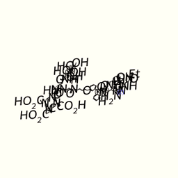 CCC(=O)NCCNC(=O)/N=C(/N)NCCC[C@@H](NC(=O)[C@H](c1ccccc1)c1cccc(OCCCCNC(=O)CCNC(=O)[C@H](CCC(=O)NC[C@H](O)[C@@H](O)[C@H](O)[C@H](O)CO)NC(=O)CN2CCN(CC(=O)O)CCN(CC(=O)O)CCN(CC(=O)O)CC2)c1)C(=O)NCc1ccc(O)cc1